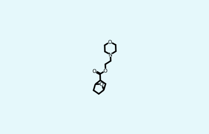 O=C(OCCN1CCOCC1)C1CC2CCC1O2